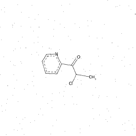 CC(Cl)C(=O)c1ccccn1